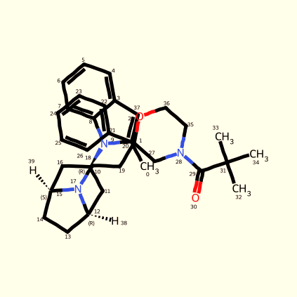 Cc1cc2ccccc2n1[C@H]1C[C@H]2CC[C@@H](C1)N2CCC1(c2ccccc2)CN(C(=O)C(C)(C)C)CCO1